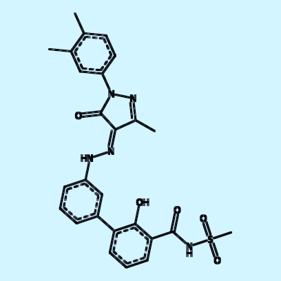 CC1=NN(c2ccc(C)c(C)c2)C(=O)/C1=N\Nc1cccc(-c2cccc(C(=O)NS(C)(=O)=O)c2O)c1